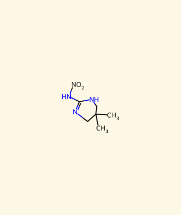 CC1(C)CN=C(N[N+](=O)[O-])NC1